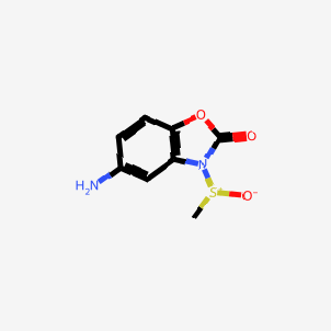 C[S+]([O-])n1c(=O)oc2ccc(N)cc21